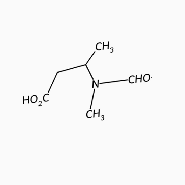 CC(CC(=O)O)N(C)[C]=O